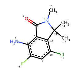 CN1C(=O)c2c(N)c(F)cc(Cl)c2C1(C)C